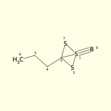 B#S12SC1(CCC)S2